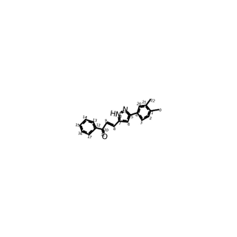 Cc1ccc(-c2cc(C=CC(=O)c3ccccc3)[nH]n2)cc1C